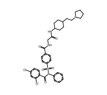 O=C(CNC(=O)c1ccc(S(=O)(=O)N(C(=O)c2ccc(Cl)cc2Cl)c2ccccc2)cc1)NC1CCC(CCN2CCCC2)CC1